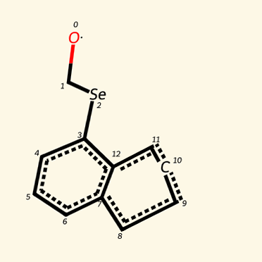 [O]C[Se]c1cccc2ccccc12